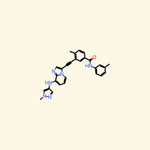 Cc1cccc(NC(=O)c2ccc(C)c(C#Cc3cnc4c(Nc5cnn(C)c5)cccn34)c2)c1